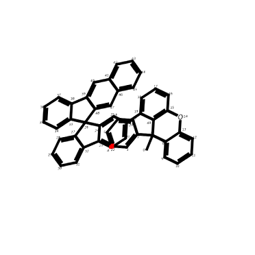 CC1(c2ccccc2)c2ccccc2Oc2cccc(-c3ccc4c(c3)C3(c5ccccc5-4)c4ccccc4-c4cc5ccccc5cc43)c21